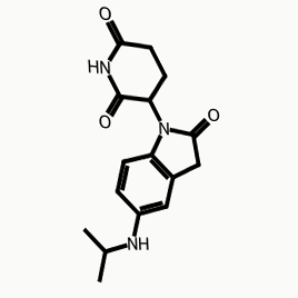 CC(C)Nc1ccc2c(c1)CC(=O)N2C1CCC(=O)NC1=O